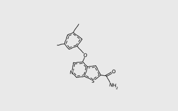 Cc1cc(C)cc(Oc2cncc3sc(C(N)=O)cc23)c1